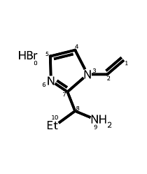 Br.C=Cn1ccnc1C(N)CC